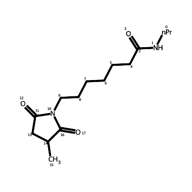 CCCNC(=O)CCCCCCN1C(=O)CC(C)C1=O